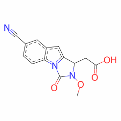 CON1C(=O)n2c(cc3cc(C#N)ccc32)C1CC(=O)O